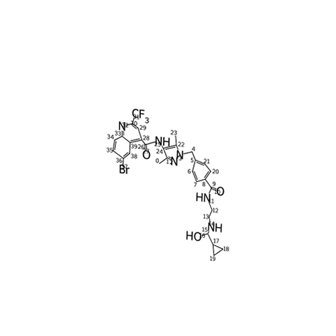 Cc1nn(Cc2ccc(C(=O)NCCNC(O)C3CC3)cc2)c(C)c1NC(=O)c1cc(C(F)(F)F)nc2ccc(Br)cc12